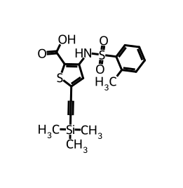 Cc1ccccc1S(=O)(=O)Nc1cc(C#C[Si](C)(C)C)sc1C(=O)O